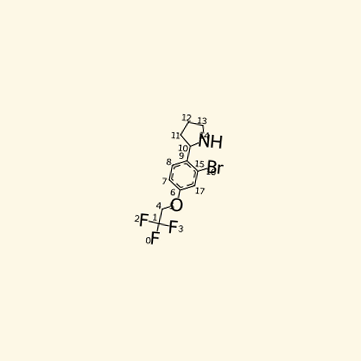 FC(F)(F)COc1ccc(C2CCCN2)c(Br)c1